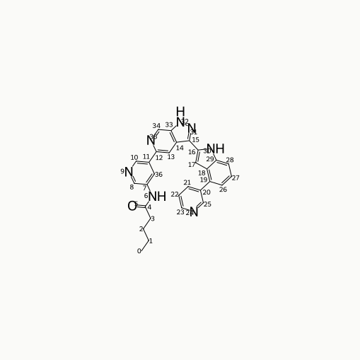 CCCCC(=O)Nc1cncc(-c2cc3c(-c4cc5c(-c6cccnc6)cccc5[nH]4)n[nH]c3cn2)c1